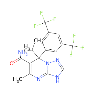 CC1=C(C(N)=O)C(c2cc(C(F)(F)F)cc(C(F)(F)F)c2)(C(C)C)N2N=CNC2=N1